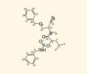 CC(C)CC(OC(=O)NCc1ccccc1)C(=O)N(C)C(C#N)COCc1ccccc1